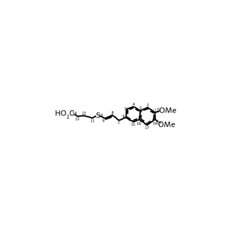 COc1cc2ccc(CC=CSCCCC(=O)O)cc2cc1OC